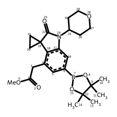 COC(=O)Cc1cc(B2OC(C)(C)C(C)(C)O2)cc2c1C1(CC1)C(=O)N2C1CCOCC1